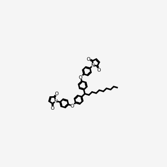 CCCCCCCCCC(c1ccc(Oc2ccc(N3C(=O)C=CC3=O)cc2)cc1)c1ccc(Oc2ccc(N3C(=O)C=CC3=O)cc2)cc1